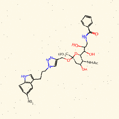 CC(=O)NC1C(O)CC(OCc2cn(CCCc3c[nH]c4ccc([N+](=O)[O-])cc34)nn2)(C(=O)O)OC1C(O)C(O)CNC(=O)c1ccccc1